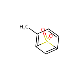 Cc1ccc2cc1S2(=O)=O